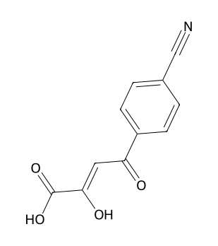 N#Cc1ccc(C(=O)C=C(O)C(=O)O)cc1